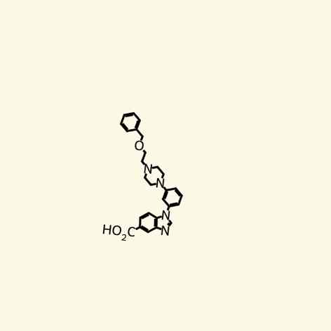 O=C(O)c1ccc2c(c1)ncn2-c1cccc(N2CCN(CCOCc3ccccc3)CC2)c1